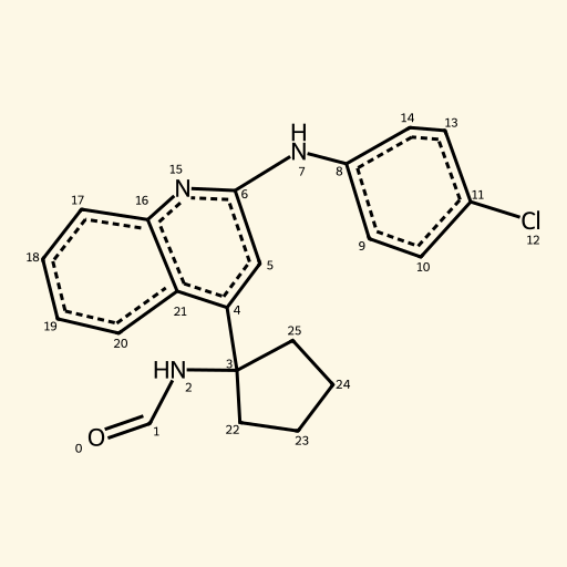 O=CNC1(c2cc(Nc3ccc(Cl)cc3)nc3ccccc23)CCCC1